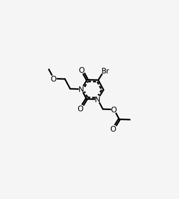 COCCn1c(=O)c(Br)cn(COC(C)=O)c1=O